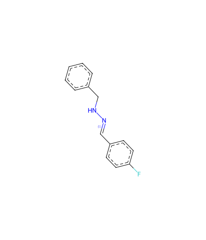 Fc1ccc(/C=N/NCc2ccccc2)cc1